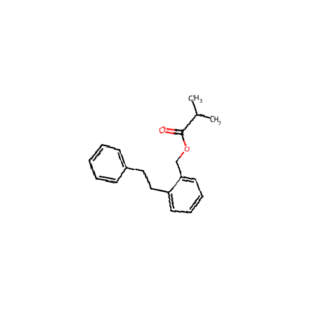 CC(C)C(=O)OCc1ccccc1CCc1ccccc1